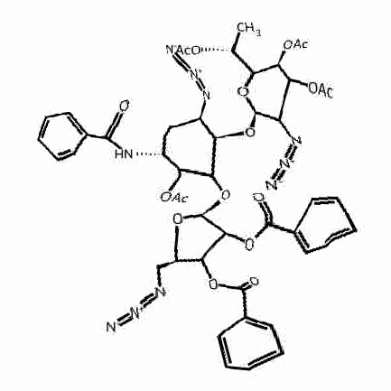 CC(=O)OC1C(N=[N+]=[N-])[C@@H](O[C@@H]2C(N=[N+]=[N-])C[C@@H](NC(=O)c3ccccc3)C(OC(C)=O)C2O[C@@H]2O[C@H](CN=[N+]=[N-])C(OC(=O)c3ccccc3)C2OC(=O)c2ccccc2)OC([C@@H](C)OC(C)=O)[C@H]1OC(C)=O